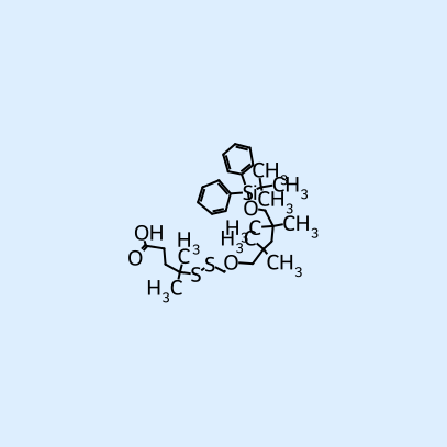 CC(C)(COCSSC(C)(C)CCC(=O)O)CC(C)(C)CO[Si](c1ccccc1)(c1ccccc1)C(C)(C)C